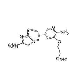 COCCOc1cc(-c2ccc3nc(NC(C)=O)cn3c2)cnc1N